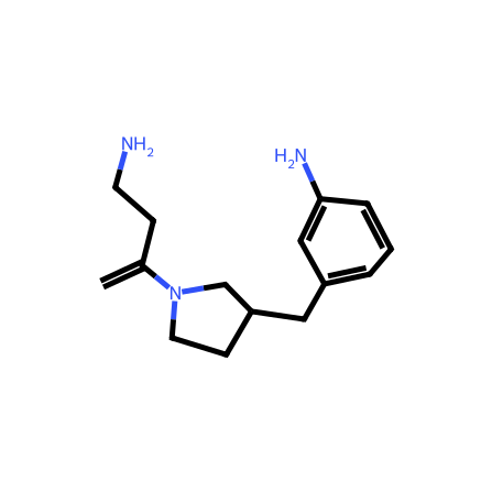 C=C(CCN)N1CCC(Cc2cccc(N)c2)C1